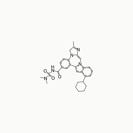 CC1=NC2=Cn3c(cc4c(C5CCCCC5)cccc43)-c3cc(C(=O)NS(=O)(=O)N(C)C)ccc3N2C1